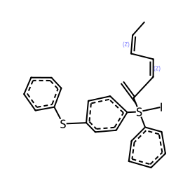 C=C(/C=C\C=C/C)S(I)(c1ccccc1)c1ccc(Sc2ccccc2)cc1